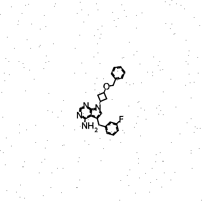 Nc1ncnc2c1c(Cc1cccc(F)c1)cn2[C@H]1C[C@H](OCc2ccccc2)C1